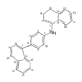 C1=C(Nc2ccc(-c3cccc4ccccc34)cc2)c2ccccc2CC1